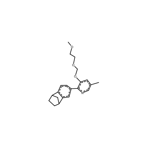 COCCOCOc1cc(C)cnc1-c1ccc2c(c1)C1CCC2C1